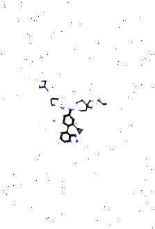 C=CC(=O)N1CC2(CCN(c3nc(N4CC(OCC5CN(C)C5)C4)nc4c(OCC(F)(F)F)c(-c5c(C)ccc6[nH]ncc56)c(C5CC5)cc34)CC2)C1